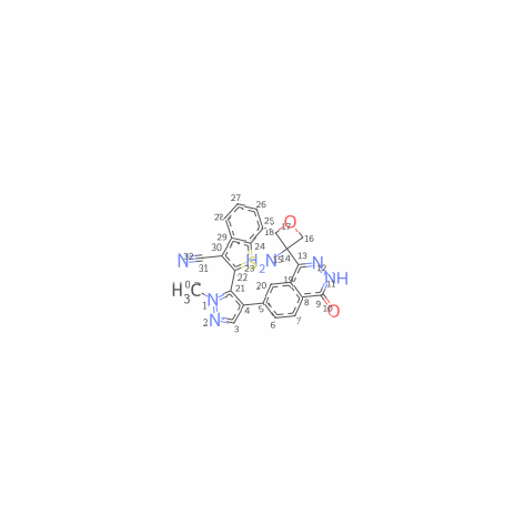 Cn1ncc(-c2ccc3c(=O)[nH]nc(C4(N)COC4)c3c2)c1-c1sc2ccccc2c1C#N